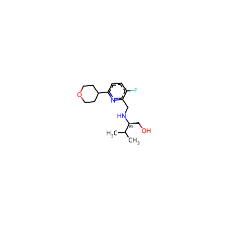 CC(C)[C@H](CO)NCc1nc(C2CCOCC2)ccc1F